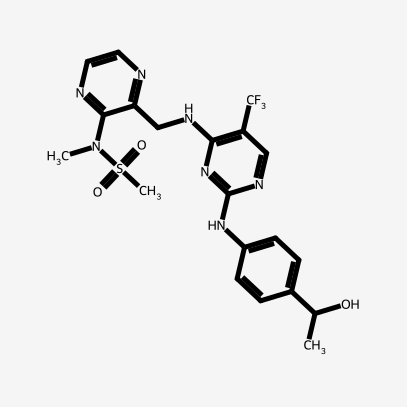 CC(O)c1ccc(Nc2ncc(C(F)(F)F)c(NCc3nccnc3N(C)S(C)(=O)=O)n2)cc1